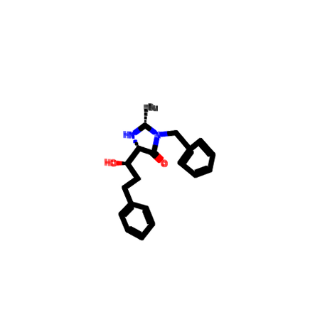 CCCC[C@H]1N[C@@H]([C@H](O)[CH]Cc2ccccc2)C(=O)N1Cc1ccccc1